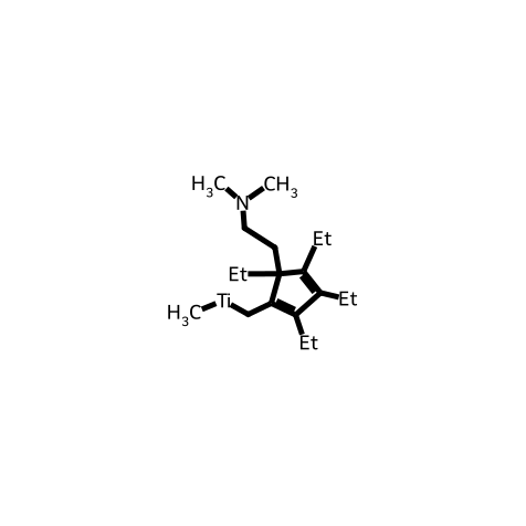 CCC1=C(CC)C(CC)(CCN(C)C)C([CH2][Ti][CH3])=C1CC